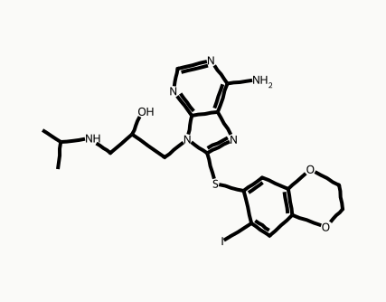 CC(C)NCC(O)Cn1c(Sc2cc3c(cc2I)OCCO3)nc2c(N)ncnc21